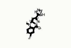 Cn1c2ccc(F)cc2c(=O)n2nc(-c3nnn[nH]3)cc12